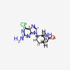 Nc1nc(Cl)c2ncn([C@@H]3CC[C@H]4CC(=O)N[C@H]3C4)c2n1